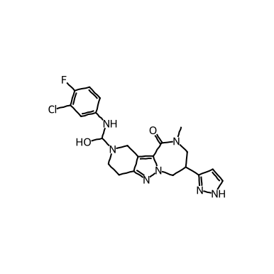 CN1CC(c2cc[nH]n2)Cn2nc3c(c2C1=O)CN(C(O)Nc1ccc(F)c(Cl)c1)CC3